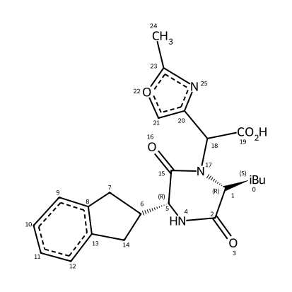 CC[C@H](C)[C@@H]1C(=O)N[C@H](C2Cc3ccccc3C2)C(=O)N1C(C(=O)O)c1coc(C)n1